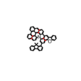 CC1(C)c2ccccc2-c2cccc(-c3cccc(N(c4ccccc4-c4ccc5oc6ccccc6c5c4)c4ccccc4-c4cccc5cccc(-c6ccccc6)c45)c3)c21